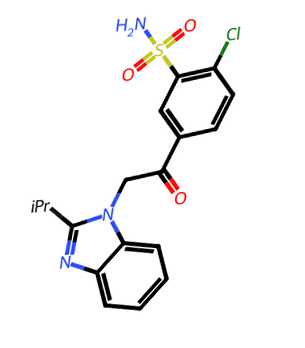 CC(C)c1nc2ccccc2n1CC(=O)c1ccc(Cl)c(S(N)(=O)=O)c1